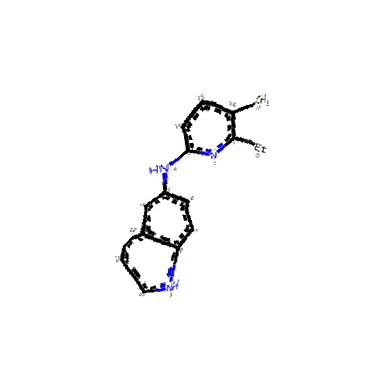 CCc1nc(Nc2ccc3[nH]ccc3c2)ccc1C